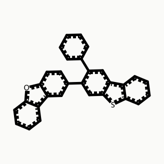 c1ccc(-c2cc3c(cc2-c2ccc4oc5ccccc5c4c2)sc2ccccc23)cc1